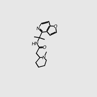 CN1CCCCC1CC(=O)NC(C)(C)c1nccc2occc12